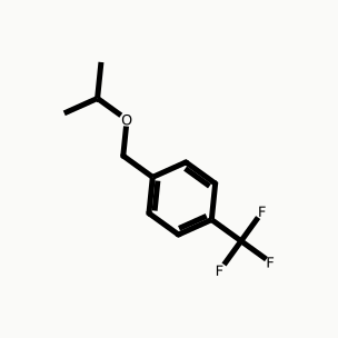 C[C](C)OCc1ccc(C(F)(F)F)cc1